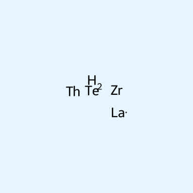 [La].[TeH2].[Th].[Zr]